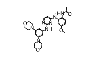 COc1ccc(NC(C)=O)c(N(C)c2ccnc(Nc3cc(N4CCOCC4)cc(N4CCOCC4)c3)n2)c1